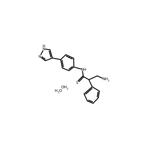 NCC(C(=S)Nc1ccc(-c2cn[nH]c2)cc1)c1ccccc1.O.O